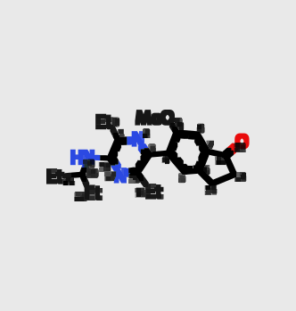 CCc1nc(-c2cc3c(cc2OC)C(=O)CC3)c(CC)nc1NC(CC)CC